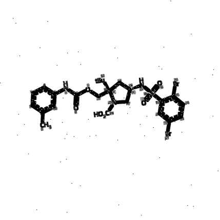 Cc1cccc(NC(=O)OC[C@]2(C(C)(C)C)C[C@@H](NS(=O)(=O)c3cc(Br)ccc3Br)CN2C(=O)O)c1